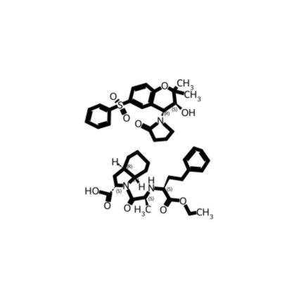 CC1(C)Oc2ccc(S(=O)(=O)c3ccccc3)cc2[C@@H](N2CCCC2=O)[C@@H]1O.CCOC(=O)[C@H](CCc1ccccc1)N[C@@H](C)C(=O)N1[C@H](C(=O)O)C[C@H]2CCCC[C@@H]21